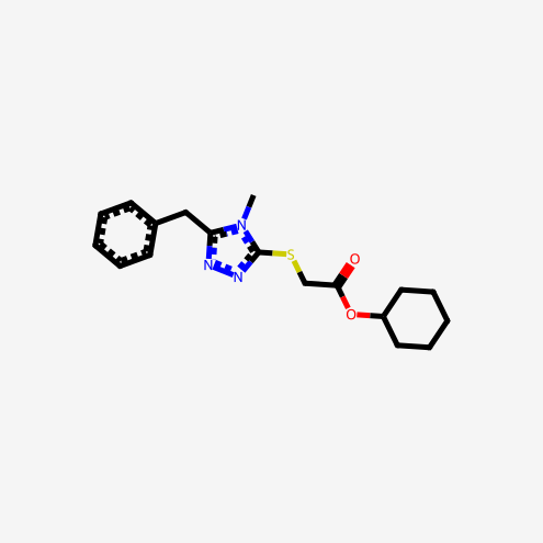 Cn1c(Cc2ccccc2)nnc1SCC(=O)OC1CCCCC1